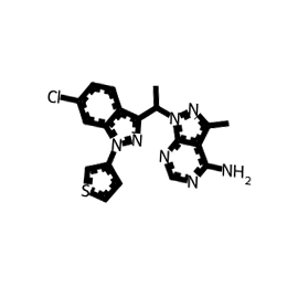 Cc1nn(C(C)c2nn(-c3ccsc3)c3cc(Cl)ccc23)c2ncnc(N)c12